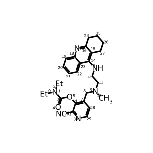 CCN(CC)C(=O)Oc1c(CN(C)CCNc2c3c(nc4ccccc24)CCCC3)ccnc1C#N